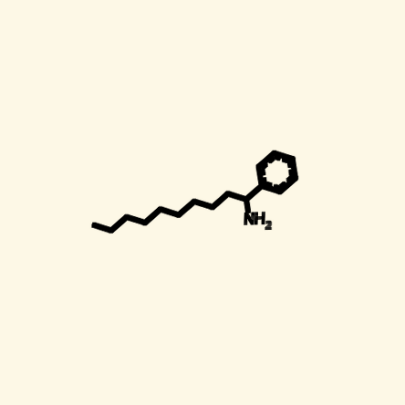 CCCCCCCCCC(N)c1ccccc1